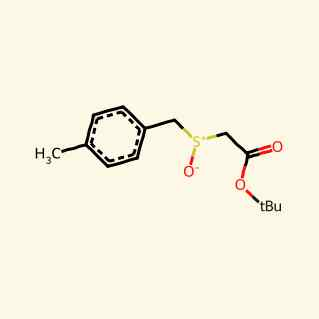 Cc1ccc(C[S+]([O-])CC(=O)OC(C)(C)C)cc1